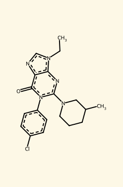 CCn1cnc2c(=O)n(-c3ccc(Cl)cc3)c(N3CCCC(C)C3)nc21